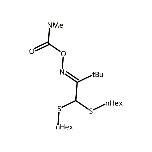 CCCCCCSC(SCCCCCC)C(=NOC(=O)NC)C(C)(C)C